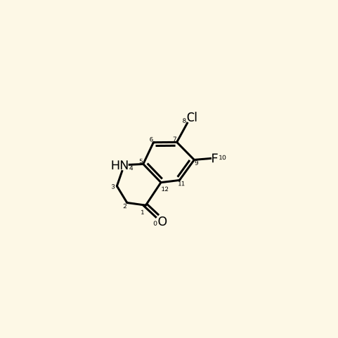 O=C1CCNc2cc(Cl)c(F)cc21